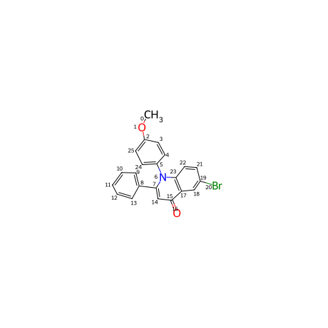 COc1ccc(-n2c(-c3ccccc3)cc(=O)c3cc(Br)ccc32)cc1